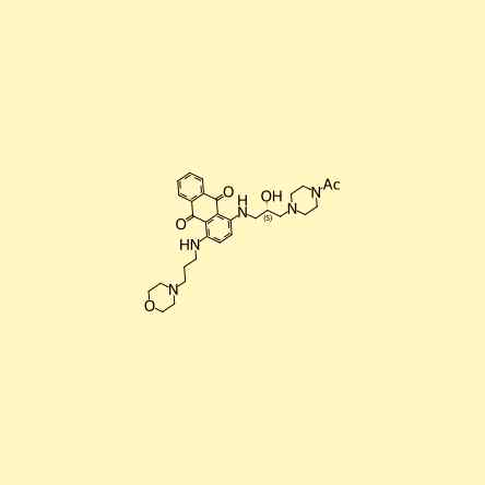 CC(=O)N1CCN(C[C@@H](O)CNc2ccc(NCCCN3CCOCC3)c3c2C(=O)c2ccccc2C3=O)CC1